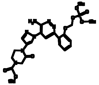 CC(C)(C)OC(=O)N1CCN(c2cnn(-c3cc(-c4ccccc4OCOP(=O)(OC(C)(C)C)OC(C)(C)C)nnc3N)c2)C(=O)C1